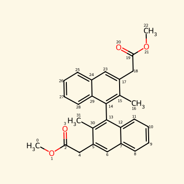 COC(=O)Cc1cc2ccccc2c(-c2c(C)c(CC(=O)OC)cc3ccccc23)c1C